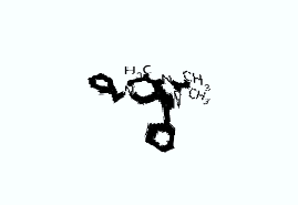 CC(C)c1nc(-c2ccccc2)c2c(n1)C(C)CN(Cc1ccccc1)C2